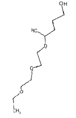 CCOCCOCCOC(O)CCCO